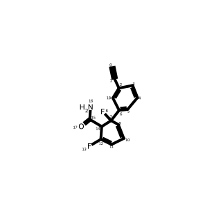 C#Cc1cccc(C2(F)C=CC=C(F)C2C(N)=O)c1